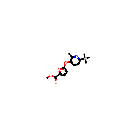 COC(=O)c1ccc(Oc2ccc([Si](C)(C)C)nc2C)o1